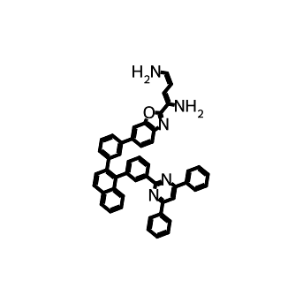 N/C=C\C=C(/N)c1nc2ccc(-c3cccc(-c4ccc5ccccc5c4-c4cccc(-c5nc(-c6ccccc6)cc(-c6ccccc6)n5)c4)c3)cc2o1